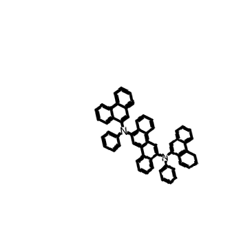 C1=Cc2c(N(c3ccccc3)c3cc4c5ccccc5c(N(c5ccccc5)c5cc6ccccc6c6ccccc56)cc4c4ccccc34)cc3ccccc3c2CC1